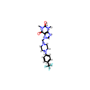 Cn1c(=O)c2c(ncn2CN2CCN(c3ccc(C(F)(F)F)cc3)CC2)n(C)c1=O